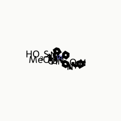 COC(=O)C(CS(=O)(=O)O)N1C(=O)/C(=C(\Nc2ccc(N(C)C(=O)CN3CCN(C)CC3)cc2)c2ccccc2)c2ccccc21